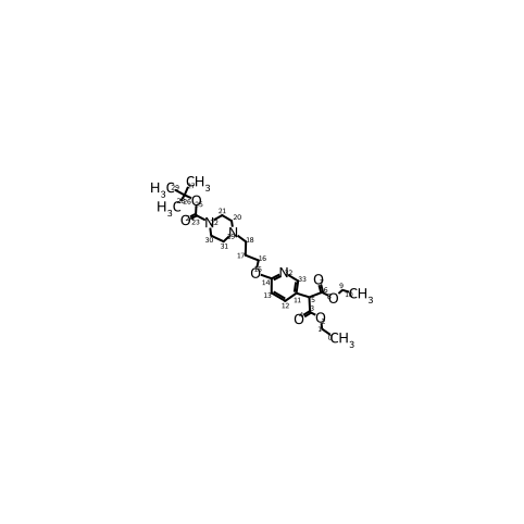 CCOC(=O)C(C(=O)OCC)c1ccc(OCCCN2CCN(C(=O)OC(C)(C)C)CC2)nc1